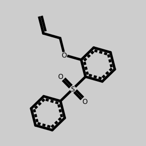 C=CCOc1ccccc1S(=O)(=O)c1ccccc1